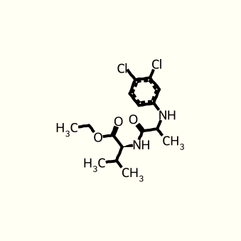 CCOC(=O)[C@@H](NC(=O)C(C)Nc1ccc(Cl)c(Cl)c1)C(C)C